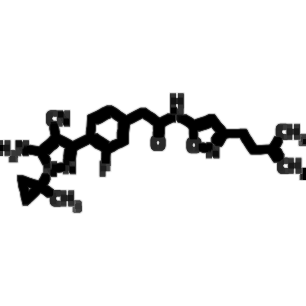 C=C(C)CCc1cc(NC(=O)Cc2ccc(-c3nn(C4(C)CC4)c(N)c3C#N)c(F)c2)on1